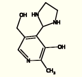 Cc1ncc(CO)c(C2NCCN2)c1O